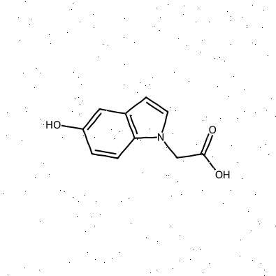 O=C(O)Cn1ccc2cc(O)ccc21